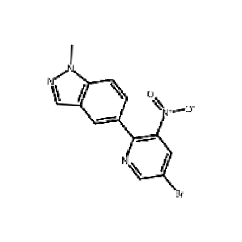 Cn1ncc2cc(-c3ncc(Br)cc3[N+](=O)[O-])ccc21